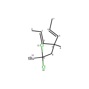 CC=CC(C)(C=CC)CC(Cl)(Cl)C(C)(C)C